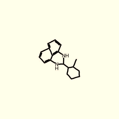 CC1CCCCC1C1Nc2cccc3cccc(c23)N1